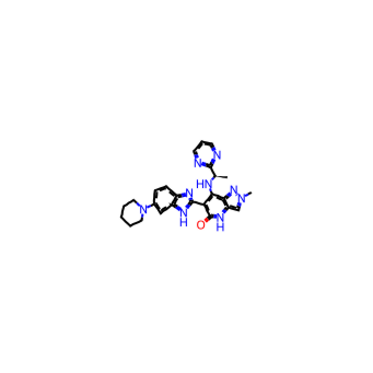 C[C@@H](Nc1c(-c2nc3ccc(N4CCCCC4)cc3[nH]2)c(=O)[nH]c2cn(C)nc12)c1ncccn1